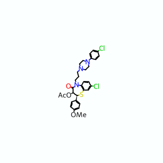 COc1ccc([C@@H]2Sc3cc(Cl)ccc3N(CCCN3CCN(c4ccc(Cl)cc4)CC3)C(=O)C2OC(C)=O)cc1